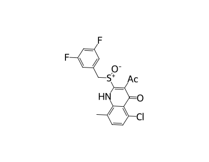 CC(=O)c1c([S+]([O-])Cc2cc(F)cc(F)c2)[nH]c2c(C)ccc(Cl)c2c1=O